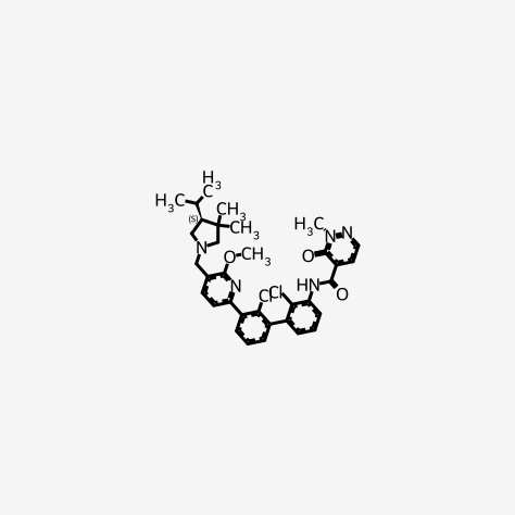 COc1nc(-c2cccc(-c3cccc(NC(=O)c4ccnn(C)c4=O)c3Cl)c2Cl)ccc1CN1C[C@@H](C(C)C)C(C)(C)C1